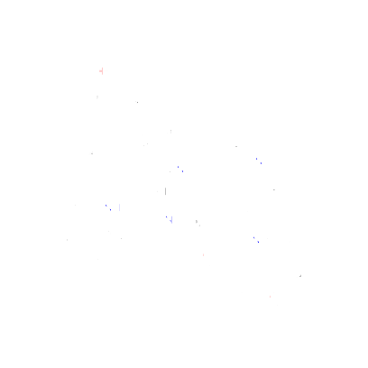 CN(C[C@@H]1CCCN1)C(=O)c1c(N2CCOCC2)cnc2ccc(-c3cccc(O)c3)nc12